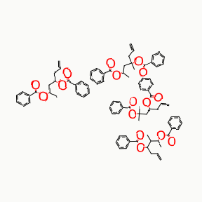 C=CCC(C)(CC(C)OC(=O)c1ccccc1)OC(=O)c1ccccc1.C=CCC(CC(C)(C)OC(=O)c1ccccc1)OC(=O)c1ccccc1.C=CCC(CC(C)OC(=O)c1ccccc1)OC(=O)c1ccccc1.C=CCC(OC(=O)c1ccccc1)C(C)C(C)OC(=O)c1ccccc1